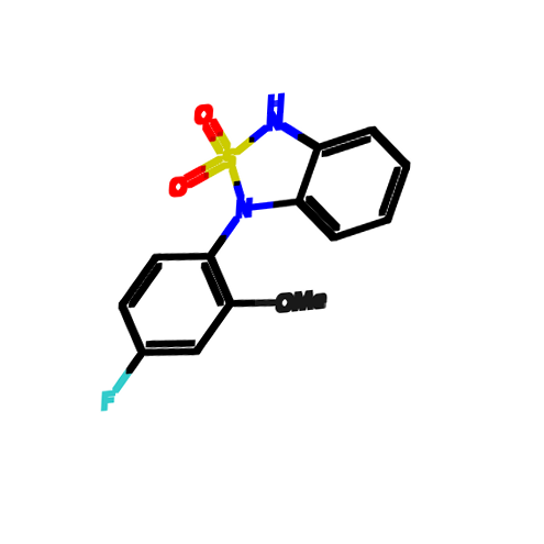 COc1cc(F)ccc1N1c2ccccc2NS1(=O)=O